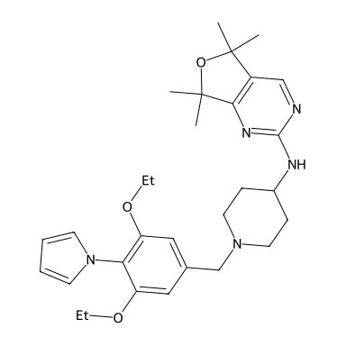 CCOc1cc(CN2CCC(Nc3ncc4c(n3)C(C)(C)OC4(C)C)CC2)cc(OCC)c1-n1cccc1